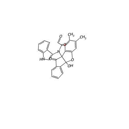 Cc1cc2c(cc1C)C1(N(C(=O)C=O)c3c[nH]c4ccccc34)C(=O)c3ccccc3C1(O)O2